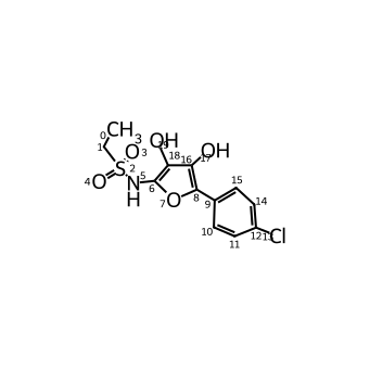 CCS(=O)(=O)Nc1oc(-c2ccc(Cl)cc2)c(O)c1O